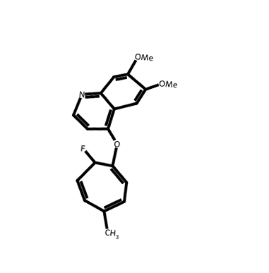 COc1cc2nccc(OC3=CC=C(C)C=CC3F)c2cc1OC